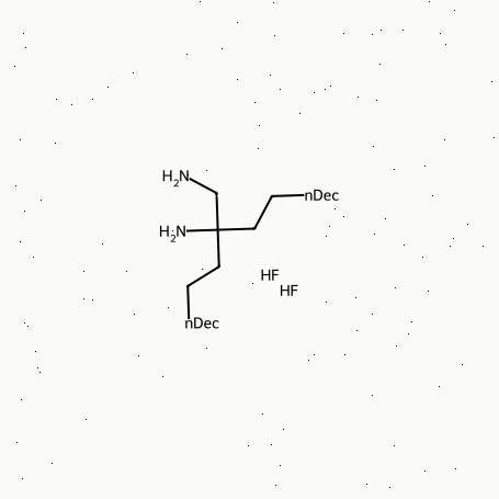 CCCCCCCCCCCCC(N)(CN)CCCCCCCCCCCC.F.F